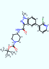 Cn1nc(C(=O)NC2CCN(C(=O)OC(C)(C)C)CC2)c2cc(-c3cccnc3F)ccc21